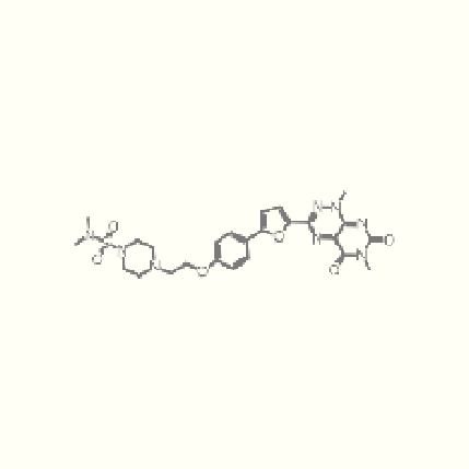 CN(C)S(=O)(=O)N1CCN(CCOc2ccc(-c3ccc(-c4nc5c(=O)n(C)c(=O)nc-5n(C)n4)o3)cc2)CC1